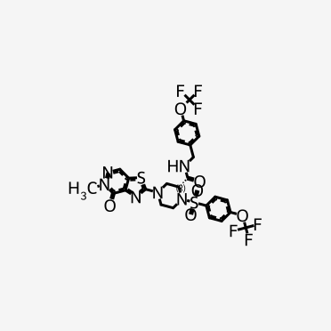 Cn1ncc2sc(N3CCN(S(=O)(=O)c4ccc(OC(F)(F)F)cc4)[C@@H](C(=O)NCc4ccc(OC(F)(F)F)cc4)C3)nc2c1=O